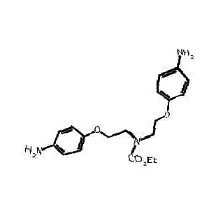 CCOC(=O)N(CCOc1ccc(N)cc1)CCOc1ccc(N)cc1